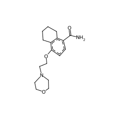 NC(=O)c1ccc(OCCN2CCOCC2)c2c1CCCC2